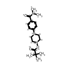 CN(C)C(=O)c1ccc(N2CCN(OC(=O)C(C)(C)C)CC2)cc1